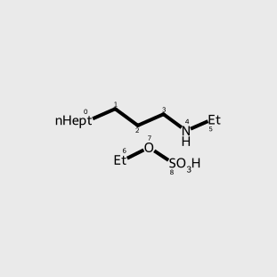 CCCCCCCCCCNCC.CCOS(=O)(=O)O